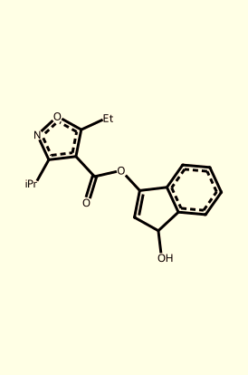 CCc1onc(C(C)C)c1C(=O)OC1=CC(O)c2ccccc21